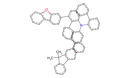 CC1(C)c2ccccc2-c2ccc(-c3ccc(N(c4ccccc4-c4ccccc4)c4cccc(-c5ccc6c(c5)oc5ccccc56)c4-c4cccc(-c5ccccc5)c4)cc3)cc21